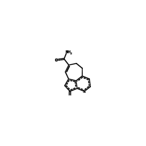 NC(=O)C1=Cc2c[nH]c3nccc(c23)CC1